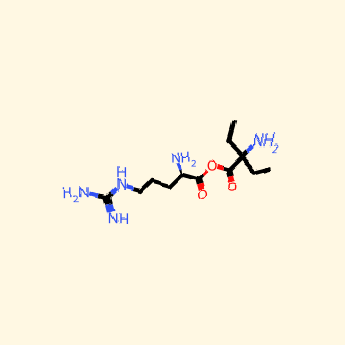 CCC(N)(CC)C(=O)OC(=O)[C@H](N)CCCNC(=N)N